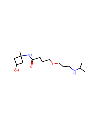 CC(C)NCCCOCCCC(=O)NC1(C)CC(O)C1